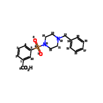 O=C(O)c1cccc(S(=O)(=O)N2CCN(Cc3ccccc3)CC2)c1